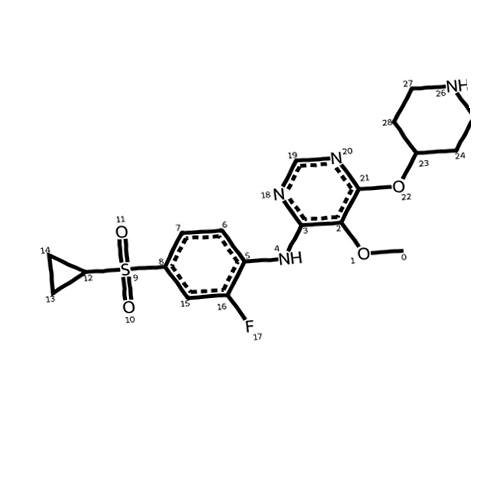 COc1c(Nc2ccc(S(=O)(=O)C3CC3)cc2F)ncnc1OC1CCNCC1